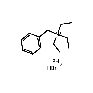 Br.CC[N+](CC)(CC)Cc1ccccc1.P